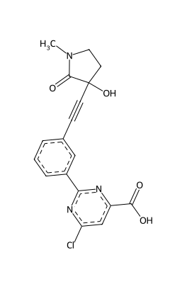 CN1CCC(O)(C#Cc2cccc(-c3nc(Cl)cc(C(=O)O)n3)c2)C1=O